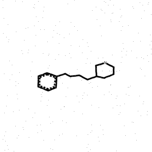 c1ccc(CCCCC2CCC[N]C2)cc1